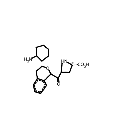 NC1CCCCC1.O=C(C1CN[C@H](C(=O)O)C1)C1OCCc2ccccc21